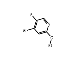 CCOc1cc(Br)c(F)cn1